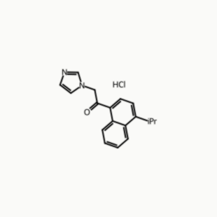 CC(C)c1ccc(C(=O)Cn2ccnc2)c2ccccc12.Cl